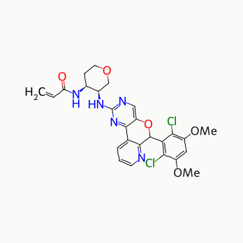 C=CC(=O)N[C@H]1CCOC[C@H]1Nc1ncc2c(n1)-c1cccnc1C(c1c(Cl)c(OC)cc(OC)c1Cl)O2